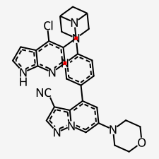 N#Cc1cnn2cc(N3CCOCC3)cc(-c3ccc(N4CC5CC(C4)N5Cc4cnc5[nH]ccc5c4Cl)nc3)c12